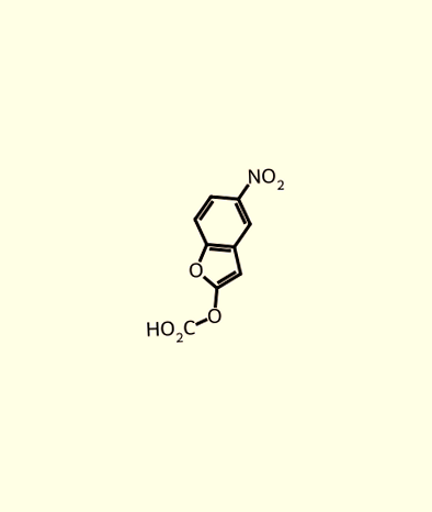 O=C(O)Oc1cc2cc([N+](=O)[O-])ccc2o1